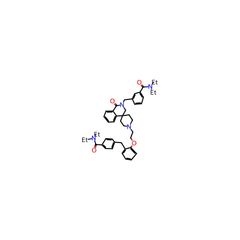 CCN(CC)C(=O)c1ccc(Cc2ccccc2OCCN2CCC3(CC2)CN(Cc2cccc(C(=O)N(CC)CC)c2)C(=O)c2ccccc23)cc1